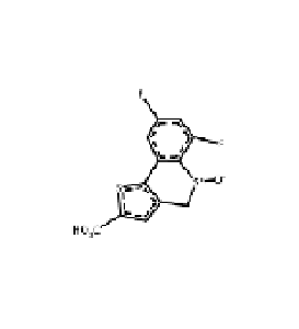 O=C(O)c1cc2c(s1)-c1cc(F)cc(F)c1[S+]([O-])C2